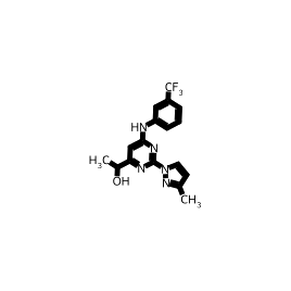 Cc1ccn(-c2nc(Nc3cccc(C(F)(F)F)c3)cc(C(C)O)n2)n1